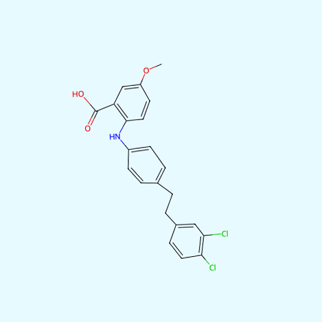 COc1ccc(Nc2ccc(CCc3ccc(Cl)c(Cl)c3)cc2)c(C(=O)O)c1